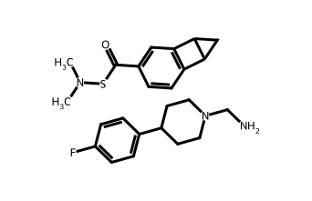 CN(C)SC(=O)c1ccc2c(c1)C1CC21.NCN1CCC(c2ccc(F)cc2)CC1